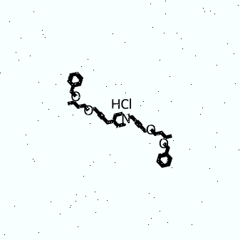 CC(CCOCC#CCC1CCN(CC#CCOCCC(C)OCc2ccccc2)CC1)OCc1ccccc1.Cl